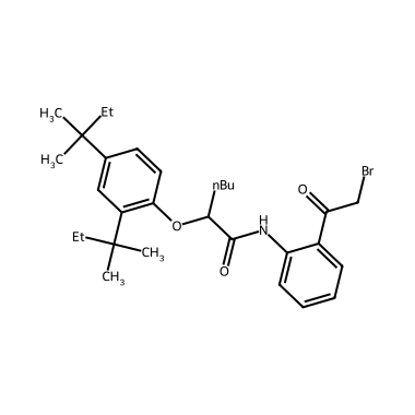 CCCCC(Oc1ccc(C(C)(C)CC)cc1C(C)(C)CC)C(=O)Nc1ccccc1C(=O)CBr